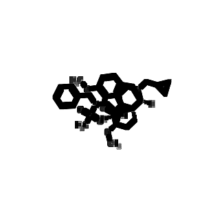 COc1ccc2c3c1O[C@H]1[C@@]4(OC)CC[C@@]5(C[C@@H]4CN(Cc4ccccc4)S(C)(=O)=O)[C@@H](C2)N(CC2CC2)CC[C@]315